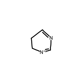 C1=NC=[N+]CC1